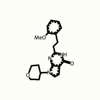 COc1ccccc1CCc1nc2c(ccn2C2CCOCC2)c(=O)[nH]1